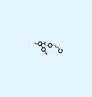 O=C(Nc1ccc(NCCc2ccccn2)cc1)c1ccc(CO)cc1-c1ccc(C(F)(F)F)cc1